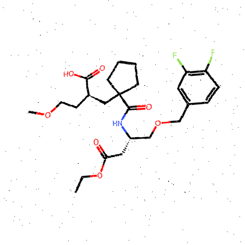 CCOC(=O)C[C@@H](COCc1ccc(F)c(F)c1)NC(=O)C1(C[C@@H](CCOC)C(=O)O)CCCC1